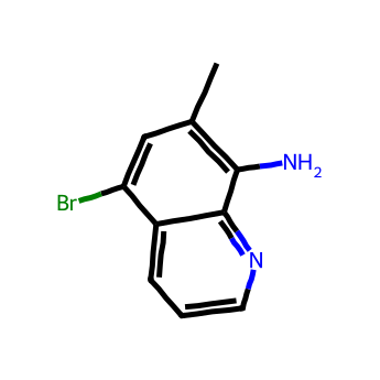 Cc1cc(Br)c2cccnc2c1N